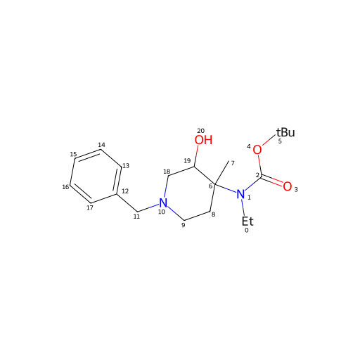 CCN(C(=O)OC(C)(C)C)C1(C)CCN(Cc2ccccc2)CC1O